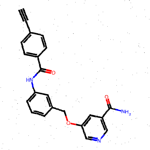 C#Cc1ccc(C(=O)Nc2cccc(COc3cncc(C(N)=O)c3)c2)cc1